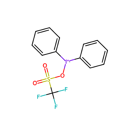 O=S(=O)(O[I+](c1ccccc1)c1ccccc1)C(F)(F)F